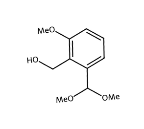 COc1cccc(C(OC)OC)c1CO